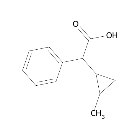 CC1CC1C(C(=O)O)c1ccccc1